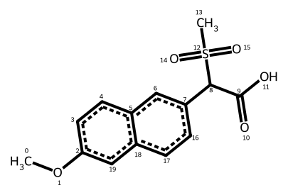 COc1ccc2cc(C(C(=O)O)S(C)(=O)=O)ccc2c1